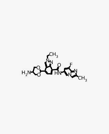 CCn1cc2c(C3OCC(N)CO3)ccc(C(=O)Nc3cc(F)c4nc(C)cn4c3)c2n1